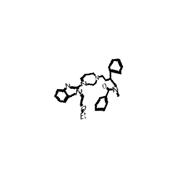 CCOCCn1c(N2CCCN(CCC(CN(C)C(=O)c3ccccc3)c3ccccc3)CC2)nc2ccccc21